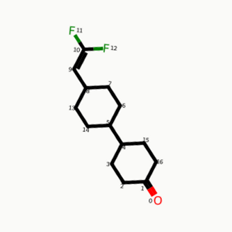 O=C1CCC(C2CCC(C=C(F)F)CC2)CC1